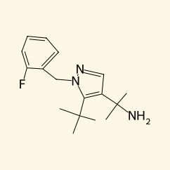 CC(C)(C)c1c(C(C)(C)N)cnn1Cc1ccccc1F